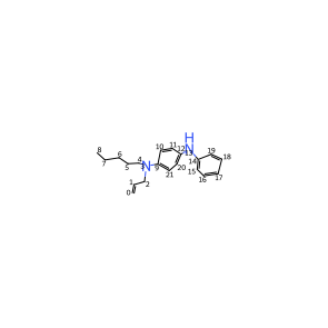 C=CCN(CCCCC)c1ccc(Nc2ccccc2)cc1